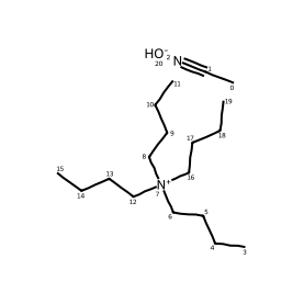 CC#N.CCCC[N+](CCCC)(CCCC)CCCC.[OH-]